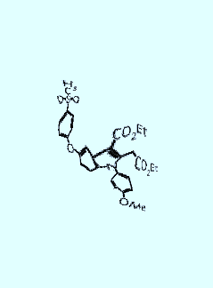 CCOC(=O)Cc1c(C(=O)OCC)c2cc(Oc3ccc(S(C)(=O)=O)cc3)ccc2n1-c1ccc(OC)cc1